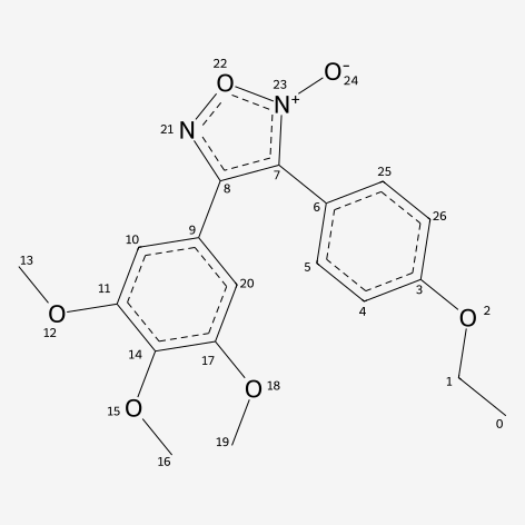 CCOc1ccc(-c2c(-c3cc(OC)c(OC)c(OC)c3)no[n+]2[O-])cc1